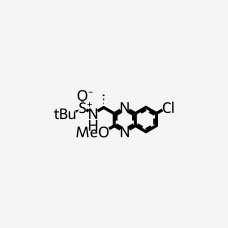 COc1nc2ccc(Cl)cc2nc1[C@@H](C)N[S@+]([O-])C(C)(C)C